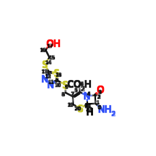 NC1C(=O)N2C(C(=O)O)=C(CSc3nnc(SCCO)s3)CS[C@H]12